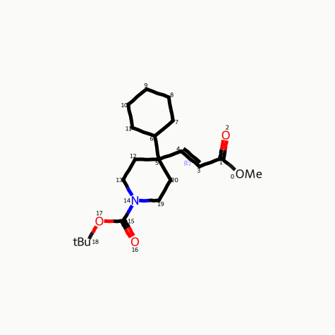 COC(=O)/C=C/C1(C2CCCCC2)CCN(C(=O)OC(C)(C)C)CC1